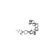 CCC(=O)C1CCN(c2ccc(Nc3ncc(F)c(-c4cc5c([nH]4)CCNC5=O)n3)nc2)CC1